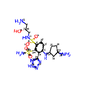 NC[C@@H](O)CNS(=O)(=O)c1ccc(NC2CCC(N)C2)c(-c2nn[nH]n2)c1S(N)(=O)=O